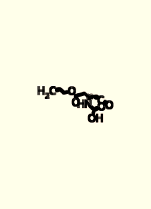 C=CCOC(=O)C[C@@H](C=C=O)NC(=O)O